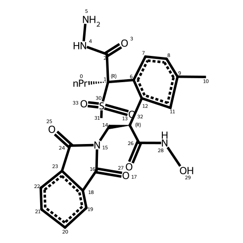 CCC[C@](C(=O)NN)(c1ccc(C)cc1[C@H](CN1C(=O)c2ccccc2C1=O)C(=O)NO)S(C)(=O)=O